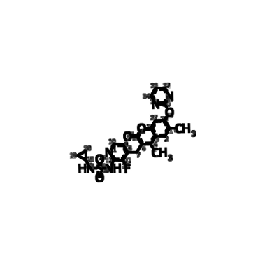 Cc1cc2c(C)c(Cc3ccnc(NS(=O)(=O)NC4CC4)c3F)c(=O)oc2cc1Oc1ncccn1